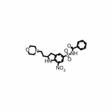 O=C(NS(=O)(=O)c1cc2c(c([N+](=O)[O-])c1)NC(CCN1CCOCC1)C2)c1ccccc1